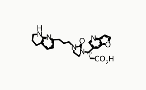 O=C(O)C[C@@H](c1cnc2ccoc2c1)N1CCN(CCCc2ccc3c(n2)NCCC3)C1=O